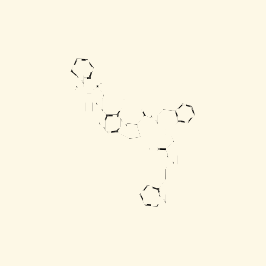 O=C(COc1ccccc1CNC(=O)C1CCc2cnc(NCC(F)(F)c3cccc[n+]3[O-])c(=O)n21)NCCc1ccccn1